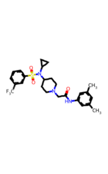 Cc1cc(C)cc(NC(=O)CN2CCC(N(C3CC3)S(=O)(=O)c3cccc(C(F)(F)F)c3)CC2)c1